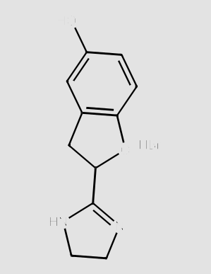 Br.Oc1ccc2c(c1)CC(C1=NCCN1)O2